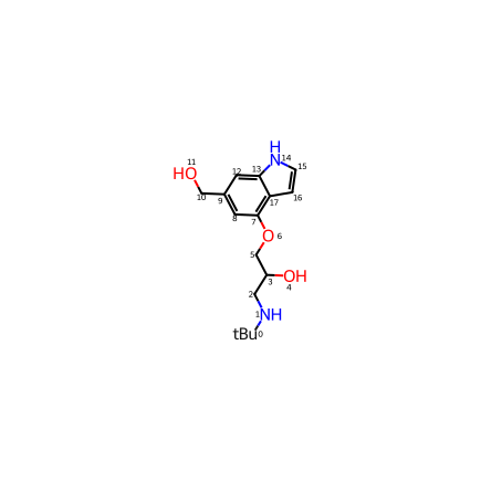 CC(C)(C)NCC(O)COc1cc(CO)cc2[nH]ccc12